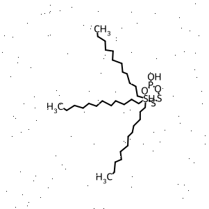 CCCCCCCCCCCC[SH]1(CCCCCCCCCCCC)(CCCCCCCCCCCC)OP(O)OSS1